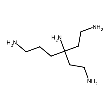 NCCCC(N)(CCN)CCN